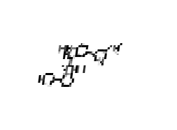 CN(C)Cc1cncc(-c2ccc3[nH]nc(-c4nc5c(-c6ccncc6)cccc5[nH]4)c3c2)c1